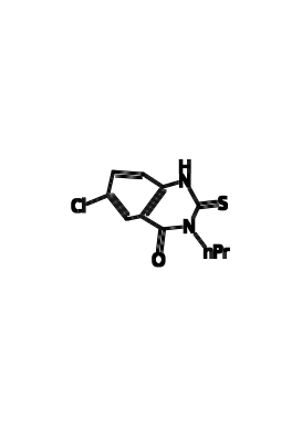 CCCn1c(=S)[nH]c2ccc(Cl)cc2c1=O